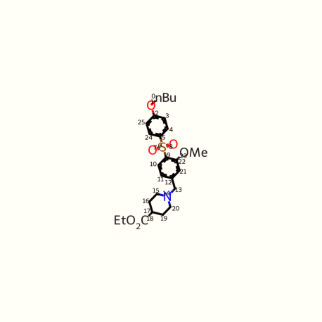 CCCCOc1ccc(S(=O)(=O)c2ccc(CN3CCC(C(=O)OCC)CC3)cc2OC)cc1